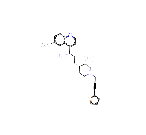 COc1ccc2nccc([C@H](N)CC[C@@H]3CCN(CC#Cc4cccs4)C[C@@H]3C(=O)O)c2c1